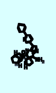 Nc1cc([C@H]2C[C@H]3CC[C@@H](C2)N3C(=O)[C@@H]2CCCN2)nc2c(-c3ccc(-c4ccccc4)nc3)cnn12